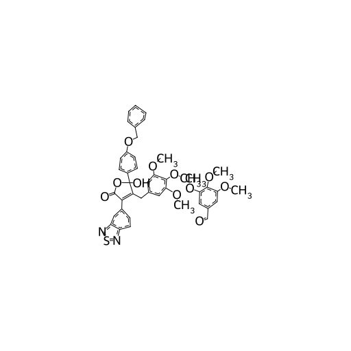 COc1cc(C=O)cc(OC)c1OC.COc1cc(CC2=C(c3ccc4nsnc4c3)C(=O)OC2(O)c2ccc(OCc3ccccc3)cc2)cc(OC)c1OC